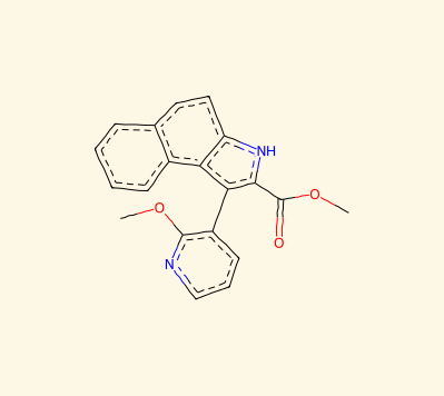 COC(=O)c1[nH]c2ccc3ccccc3c2c1-c1cccnc1OC